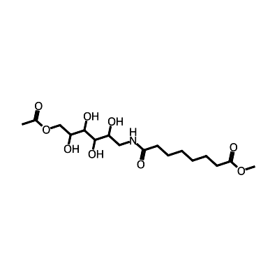 COC(=O)CCCCCCC(=O)NCC(O)C(O)C(O)C(O)COC(C)=O